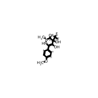 COc1ccc(C2=C(O)C(O)(C(F)(F)F)C(=O)N(C)N2)cc1